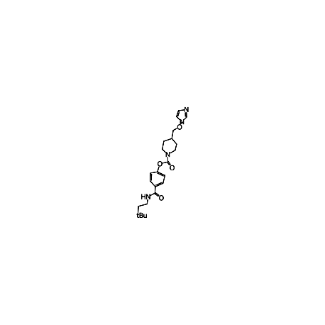 CC(C)(C)CCNC(=O)c1ccc(OC(=O)N2CCC(COn3ccnc3)CC2)cc1